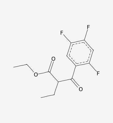 CCOC(=O)C(CC)C(=O)c1cc(F)c(F)cc1F